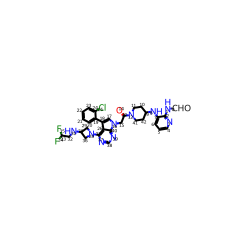 O=CNc1ncccc1NC1CCN(C(=O)Cn2cc(-c3ccccc3Cl)c3c(N4CC(NCC(F)F)C4)ncnc32)CC1